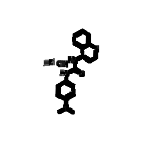 CN(C)c1ccc(NC(=O)Nc2ccnc3ccccc23)cc1.Cl.Cl